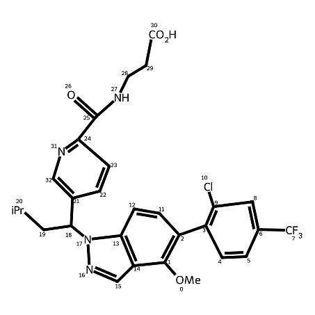 COc1c(-c2ccc(C(F)(F)F)cc2Cl)ccc2c1cnn2C(CC(C)C)c1ccc(C(=O)NCCC(=O)O)nc1